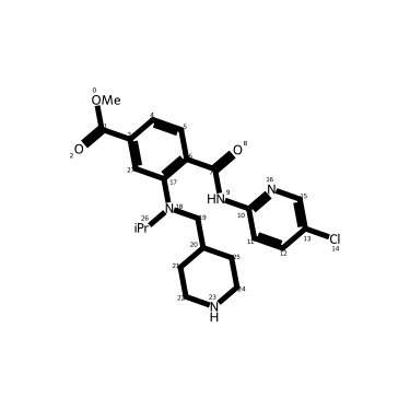 COC(=O)c1ccc(C(=O)Nc2ccc(Cl)cn2)c(N(CC2CCNCC2)C(C)C)c1